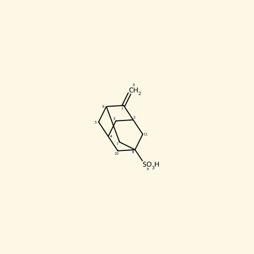 C=C1C2CC3CC1CC(S(=O)(=O)O)(C3)C2